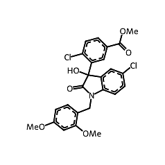 COC(=O)c1ccc(Cl)c(C2(O)C(=O)N(Cc3ccc(OC)cc3OC)c3ccc(Cl)cc32)c1